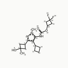 Cn1nc(C2CC(C)(O)C2)c(C2CCC2)c1NC(=O)OC1CC(F)(F)C1